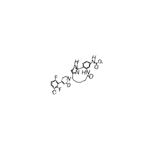 COC(=O)Nc1ccc2c(c1)NC(=O)[C@H](C)CCC[C@H](N1CCC(c3c(F)ccc(Cl)c3F)=CC1=O)c1c[nH]c-2n1